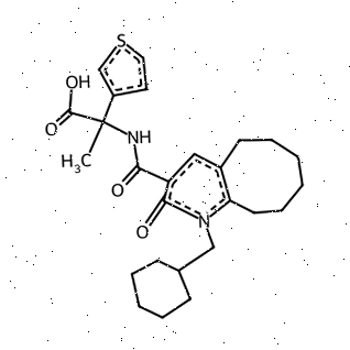 CC(NC(=O)c1cc2c(n(CC3CCCCC3)c1=O)CCCCCC2)(C(=O)O)c1ccsc1